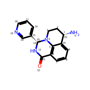 N[C@H]1CCN2c3c(cccc31)C(=O)N[C@@H]2c1cccnc1